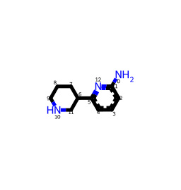 Nc1cccc(C2CCCNC2)n1